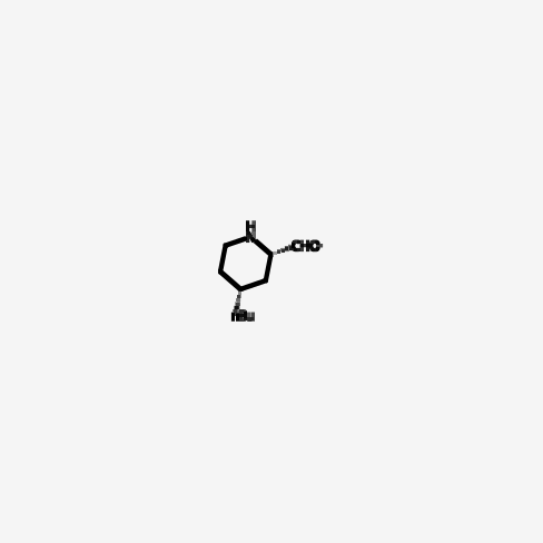 CCCC[C@@H]1CCN[C@H]([C]=O)C1